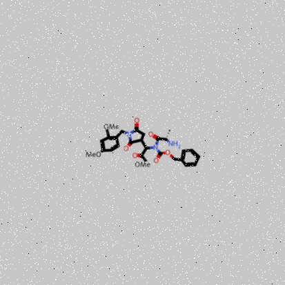 COC(=O)C(C1CC(=O)N(Cc2ccc(OC)cc2OC)C1=O)N(C(=O)OCc1ccccc1)C(=O)[C@H](C)N